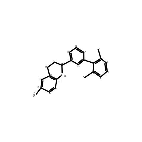 Cc1cccc(C)c1-c1cccc(C2CCc3cc(Br)ccc3O2)c1